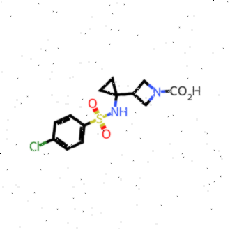 O=C(O)N1CC(C2(NS(=O)(=O)c3ccc(Cl)cc3)CC2)C1